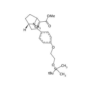 COC(=O)C1=C(c2ccc(OCCO[Si](C)(C)C(C)(C)C)cc2)C[C@@H]2CCC1N2C